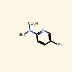 CC(C)c1ccc(N(C(=O)O)C(C)(C)C)nc1